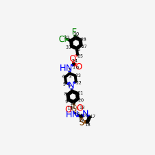 O=C(NC1CCN(c2ccc(S(=O)(=O)Nc3nccs3)cc2)CC1)OCc1ccc(F)c(Cl)c1